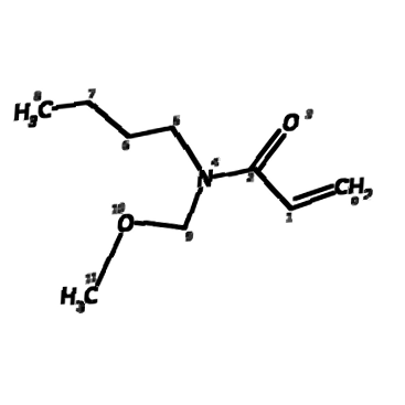 C=CC(=O)N(CCCC)COC